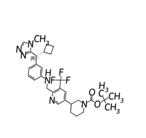 Cn1cnnc1[C@@H](c1cccc(NCc2ncc(C3CCCN(C(=O)OC(C)(C)C)C3)cc2C(F)(F)F)c1)C1CCC1